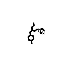 CCCC(CCn1ccnc1)CC1CCC(C)CC1